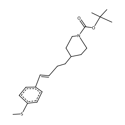 CSc1ccc(C=CCCC2CCN(C(=O)OC(C)(C)C)CC2)cc1